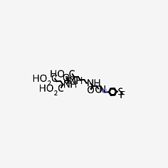 O=C(O)CCC(NC(=O)NC(CCCCNC(=O)CO/N=C/c1ccc(SF)cc1)C(=O)O)C(=O)O